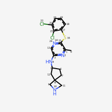 Cc1nc(NC2CCC3(CNC3)C2)cnc1Sc1cccc(Cl)c1Cl